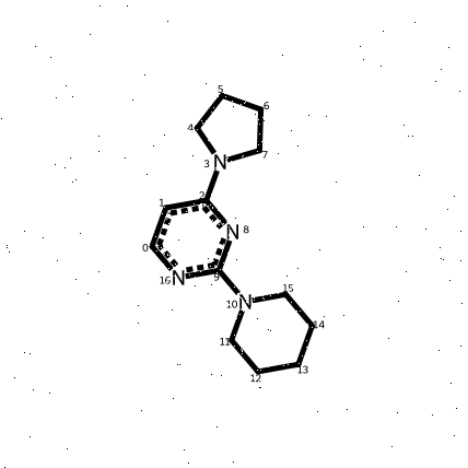 c1cc(N2CCCC2)nc(N2CCCCC2)n1